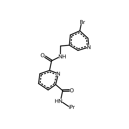 CC(C)NC(=O)c1cccc(C(=O)NCc2cncc(Br)c2)n1